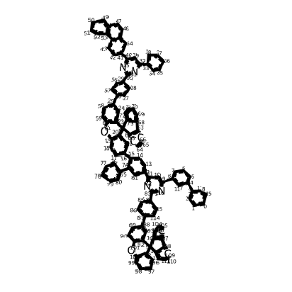 c1ccc(-c2cccc(-c3cc(-c4ccc(-c5ccc6c(c5)C5(c7cc(-c8ccc(-c9nc(-c%10ccccc%10)cc(-c%10ccc%11c(ccc%12ccccc%12%11)c%10)n9)cc8)ccc7O6)c6ccccc6-c6ccccc65)c(-c5ccccc5)c4)nc(-c4ccc(-c5ccc6c(c5)C5(c7ccccc7O6)c6ccccc6-c6ccccc65)cc4)n3)c2)cc1